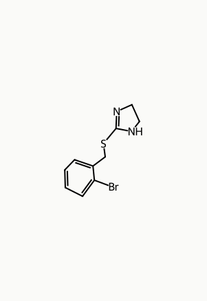 Brc1ccccc1CSC1=NCCN1